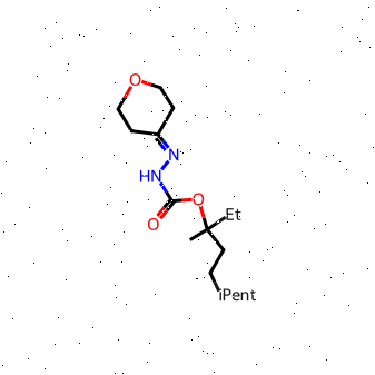 CCCC(C)CCC(C)(CC)OC(=O)NN=C1CCOCC1